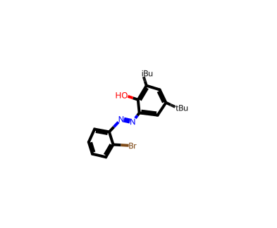 CCC(C)c1cc(C(C)(C)C)cc(N=Nc2ccccc2Br)c1O